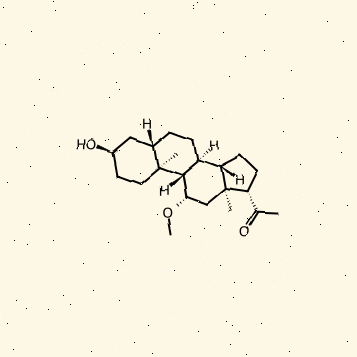 CO[C@H]1C[C@]2(C)[C@@H](C(C)=O)CC[C@H]2[C@@H]2CC[C@H]3C[C@H](O)CC[C@]3(C)[C@H]21